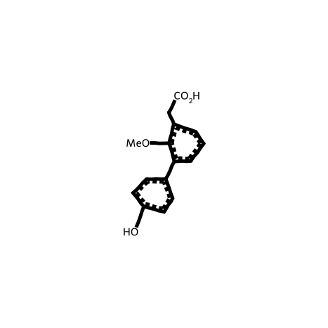 COc1c(CC(=O)O)cccc1-c1ccc(O)cc1